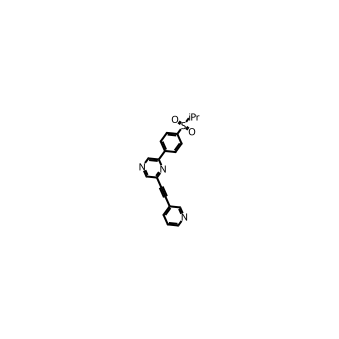 CC(C)S(=O)(=O)c1ccc(-c2cncc(C#Cc3cccnc3)n2)cc1